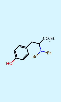 CCOC(=O)C(Cc1ccc(O)cc1)N(Br)Br